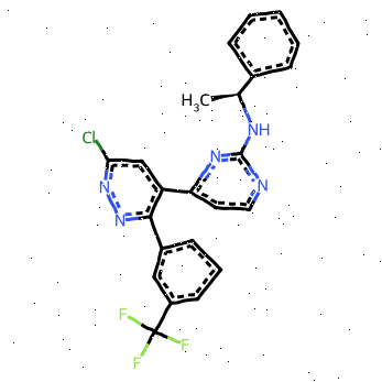 C[C@H](Nc1nccc(-c2cc(Cl)nnc2-c2cccc(C(F)(F)F)c2)n1)c1ccccc1